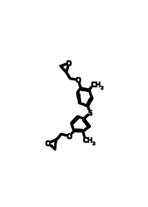 Cc1cc(Sc2ccc(OCC3CO3)c(C)c2)ccc1OCC1CO1